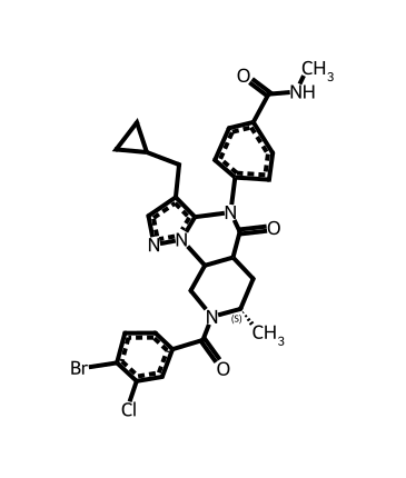 CNC(=O)c1ccc(N2C(=O)C3C[C@H](C)N(C(=O)c4ccc(Br)c(Cl)c4)CC3n3ncc(CC4CC4)c32)cc1